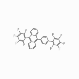 Fc1c(F)c(F)c(-c2ccc(-c3c4ccccc4c(-c4c(F)c(F)c(F)c(F)c4F)c4ccccc34)cc2)c(F)c1F